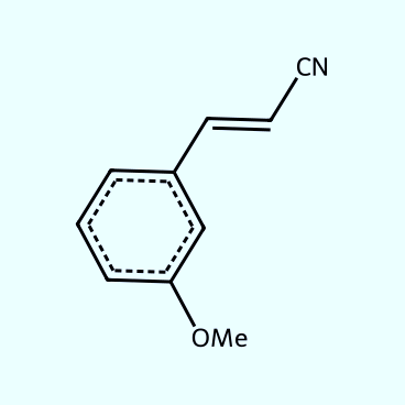 COc1cccc(C=CC#N)c1